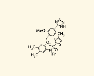 COc1cc(-c2nnn[nH]2)ccc1COc1cc(C)c(C)cc1N(C(C)C)S(=O)(=O)c1nc(C)cs1